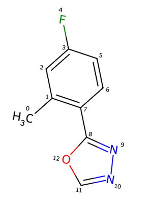 Cc1cc(F)ccc1-c1nnco1